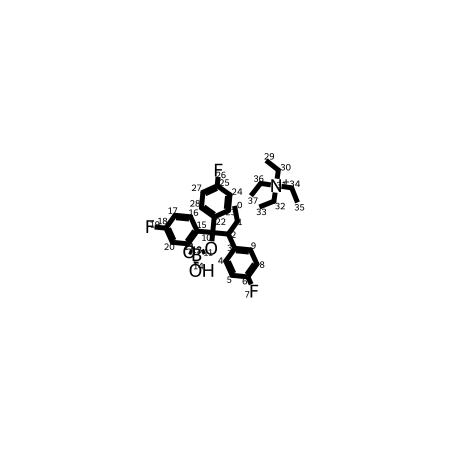 CCC(c1ccc(F)cc1)C(OB([O-])O)(c1ccc(F)cc1)c1ccc(F)cc1.CC[N+](CC)(CC)CC